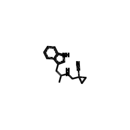 CC(Cc1c[nH]c2ccccc12)NCC1(C#N)CC1